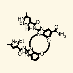 CCN/C(=C\C(C)=N)C(=O)Nc1nc2cc(C(N)=O)cc3c2n1CCCCn1c(NC(=O)c2cc(C)nn2CC)nc2cccc(c21)OCCCO3